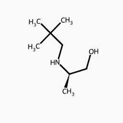 C[C@H](CO)NCC(C)(C)C